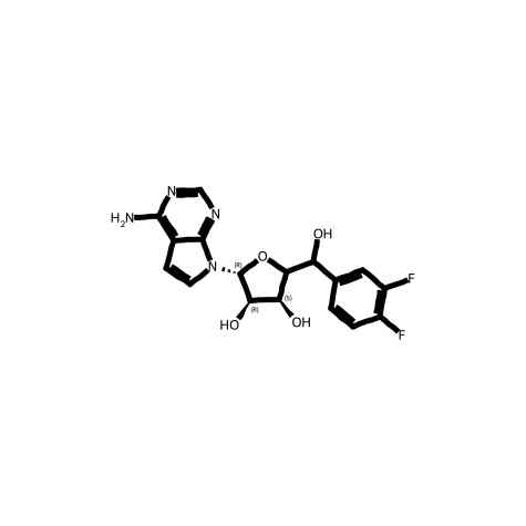 Nc1ncnc2c1ccn2[C@@H]1OC(C(O)c2ccc(F)c(F)c2)[C@@H](O)[C@H]1O